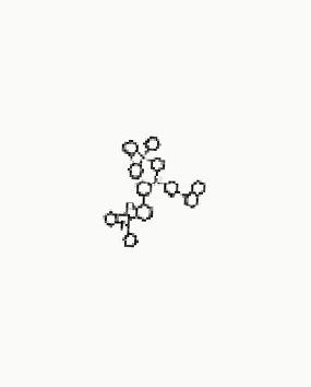 c1ccc(-n2c3ccccc3c3oc4c(-c5cccc(N(c6ccc(-c7cccc8ccccc78)cc6)c6cccc(C7(c8ccccc8)c8ccccc8-c8ccccc87)c6)c5)cccc4c32)cc1